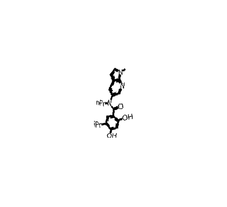 CCCN(C(=O)c1cc(C(C)C)c(O)cc1O)c1cnc2c(ccn2C)c1